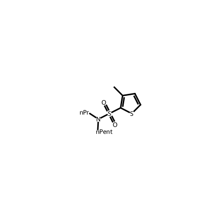 CCCCCN(CCC)S(=O)(=O)c1sccc1C